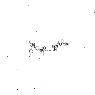 Cc1ccc(-c2cc(C(F)(F)F)nn2-c2ccc(S(=O)(=O)NC(=O)CCCCCN(C)[N+]([O-])=NOC(C)OC(=O)C(C)(C)C)cc2)cc1